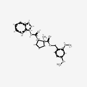 COc1ccc(COC(=O)[C@@]2(C)CCC[C@H]2C(=O)On2nnc3cccnc32)c(OC)c1